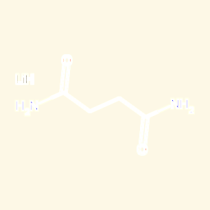 NC(=O)CCC(N)=O.[LiH]